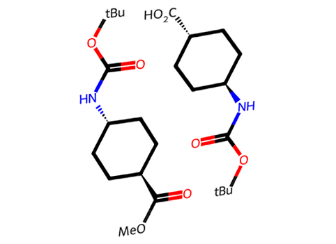 CC(C)(C)OC(=O)N[C@H]1CC[C@H](C(=O)O)CC1.COC(=O)[C@H]1CC[C@H](NC(=O)OC(C)(C)C)CC1